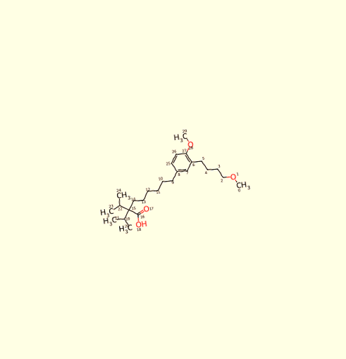 COCCCCc1cc(CCCCCCC(C(=O)O)(C(C)C)C(C)C)ccc1OC